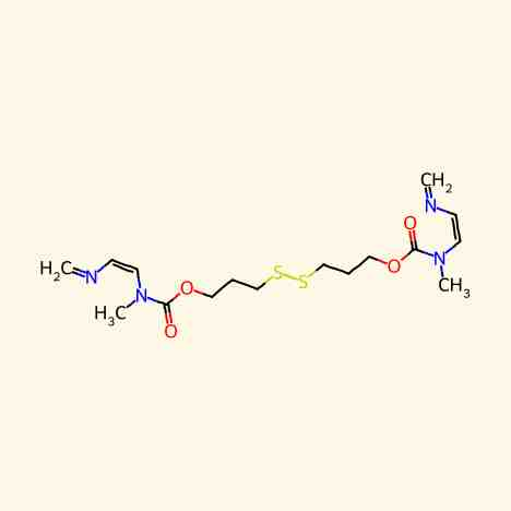 C=N/C=C\N(C)C(=O)OCCCSSCCCOC(=O)N(C)/C=C\N=C